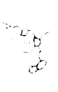 COc1cc(OC2O[C@H](COP(=O)(O)O)[C@@H](O)[C@H]2O)c(OC)cc1CNc1ncnc2nc[nH]c12